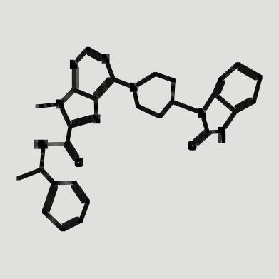 CC(NC(=O)c1nc2c(N3CCC(n4c(=O)[nH]c5ccccc54)CC3)ncnc2n1C)c1ccccc1